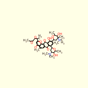 Cc1cc2c(c3oc(C4(C)OC4C4OC4C)cc(=O)c13)C(=O)c1c(O)c(C3CC(C)(N(C)C)C(O)C(C)O3)cc(C3CC(N(C)C)C(O)C(C)O3)c1C2=O